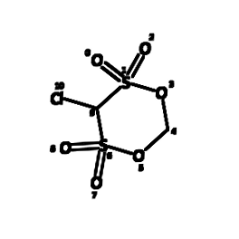 O=S1(=O)OCOS(=O)(=O)C1Cl